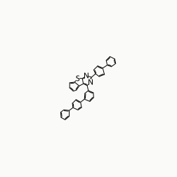 c1ccc(-c2ccc(-c3cccc(-c4nc(-c5ccc(-c6ccccc6)cc5)nc5sc6ccccc6c45)c3)cc2)cc1